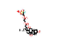 C[C@H](CCC(=O)OCCC(=O)OCC(F)C(F)(F)S(=O)(=O)O)[C@H]1CC[C@H]2[C@@H]3C(=O)C[C@@H]4CC(=O)CC[C@]4(C)[C@H]3CC(=O)[C@]12C